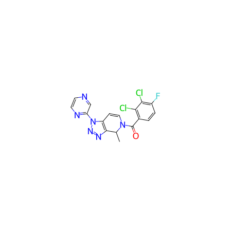 CC1c2nnn(-c3cnccn3)c2C=CN1C(=O)c1ccc(F)c(Cl)c1Cl